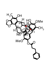 COc1cc2c(cc1OC(=O)CCc1ccccc1)CCN[C@]21CS[C@@H]2c3c(O)c(C)c4c(c3[C@H](COC1=O)N1C2[C@@H]2c3c(cc(C)c(OC)c3O)C[C@@H]([C@@H]1C#N)N2C)OCO4